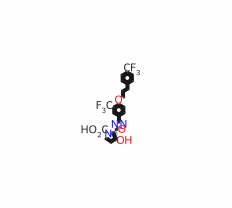 O=C(O)N1CC[C@H](O)[C@H]1c1nc(-c2ccc(OCCCc3ccc(C(F)(F)F)cc3)c(C(F)(F)F)c2)no1